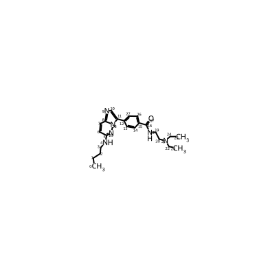 CCCCNc1ccc2ncc(-c3ccc(C(=O)NCCN(CC)CC)cc3)n2n1